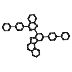 c1ccc(-c2ccc(-c3cc(-c4nc(-c5ccc(-c6ccccc6)cc5)c5ccccc5n4)c4oc5ccc6ccccc6c5c4c3)cc2)cc1